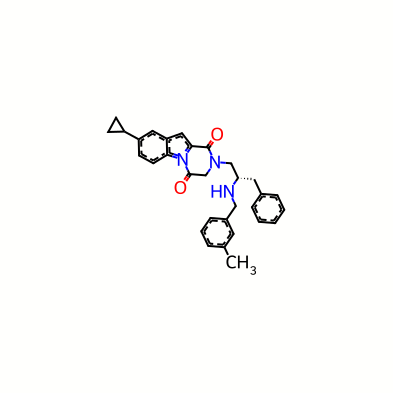 Cc1cccc(CN[C@@H](Cc2ccccc2)CN2CC(=O)n3c(cc4cc(C5CC5)ccc43)C2=O)c1